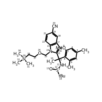 COc1cc(C)cc(C)c1C(C)(N[S+]([O-])C(C)(C)C)c1nc2cc(C#N)ccc2n1COCC[Si](C)(C)C